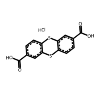 Cl.O=C(O)c1ccc2c(c1)Sc1ccc(C(=O)O)cc1S2